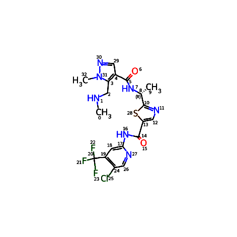 CNCc1c(C(=O)N[C@H](C)c2ncc(C(=O)Nc3cc(C(F)(F)F)c(Cl)cn3)s2)cnn1C